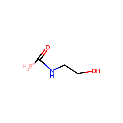 BC(=O)NCCO